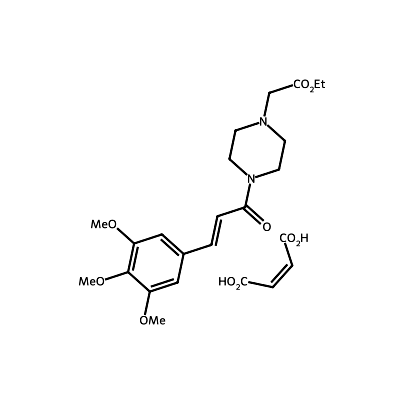 CCOC(=O)CN1CCN(C(=O)/C=C/c2cc(OC)c(OC)c(OC)c2)CC1.O=C(O)/C=C\C(=O)O